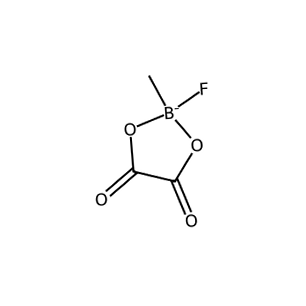 C[B-]1(F)OC(=O)C(=O)O1